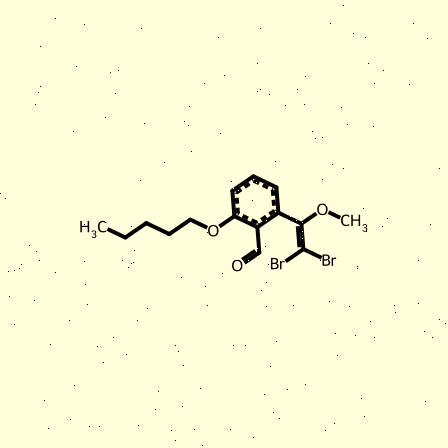 CCCCCOc1cccc(C(OC)=C(Br)Br)c1C=O